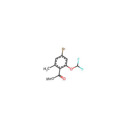 COC(=O)c1c(C)cc(Br)cc1OC(F)F